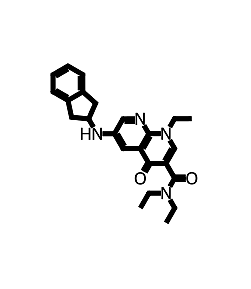 CCN(CC)C(=O)c1cn(CC)c2ncc(NC3Cc4ccccc4C3)cc2c1=O